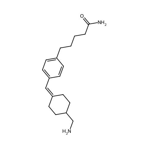 NCC1CCC(=Cc2ccc(CCCCC(N)=O)cc2)CC1